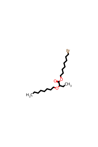 CCCCCCCCOC(CC)C(=O)OCCCCCCCCBr